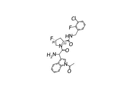 CC(=O)n1cc(C(N)C(=O)N2C[C@H](F)C[C@H]2C(=O)NCc2cccc(Cl)c2F)c2ccccc21